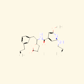 C=CCNc1cc(C(=O)NC(Cc2cccc(CC=C)c2)C2CC(C)C(=O)O2)cc(OC)n1